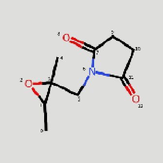 CC1OC1(C)CN1C(=O)CCC1=O